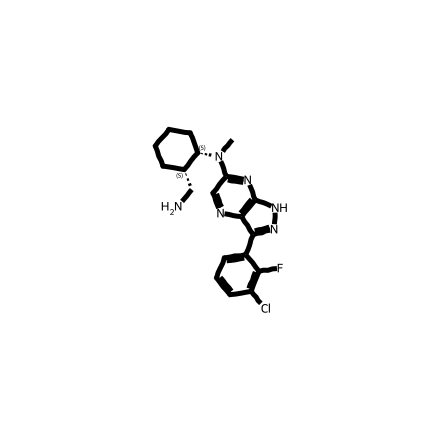 CN(c1cnc2c(-c3cccc(Cl)c3F)n[nH]c2n1)[C@H]1CCCC[C@H]1CN